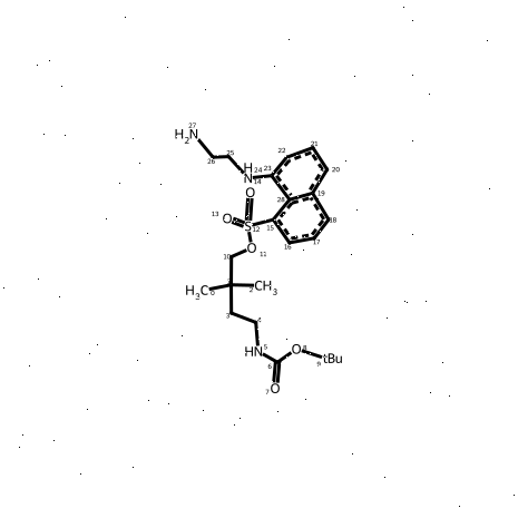 CC(C)(CCNC(=O)OC(C)(C)C)COS(=O)(=O)c1cccc2cccc(NCCN)c12